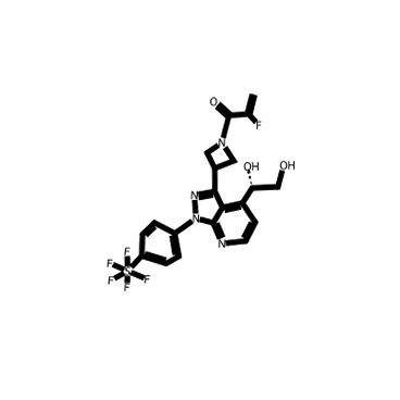 C=C(F)C(=O)N1CC(c2nn(-c3ccc(S(F)(F)(F)(F)F)cc3)c3nccc([C@H](O)CO)c23)C1